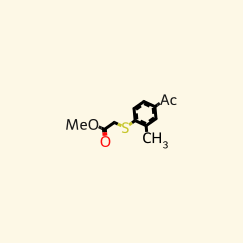 COC(=O)CSc1ccc(C(C)=O)cc1C